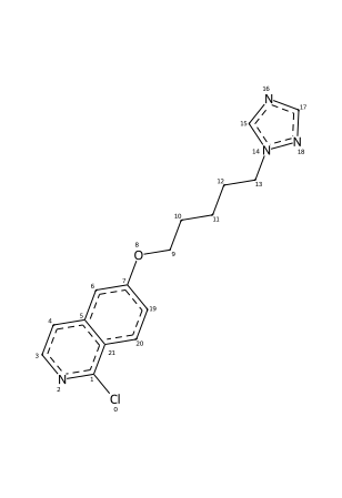 Clc1nccc2cc(OCCCCCn3cncn3)ccc12